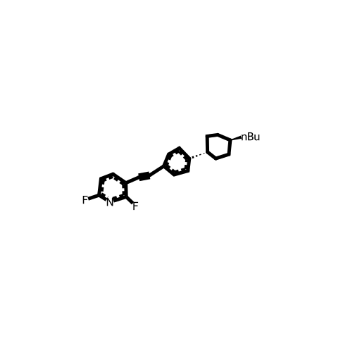 CCCC[C@H]1CC[C@H](c2ccc(C#Cc3ccc(F)nc3F)cc2)CC1